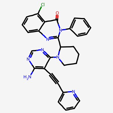 Nc1ncnc(N2CCCCC2c2nc3cccc(Cl)c3c(=O)n2-c2ccccc2)c1C#Cc1ccccn1